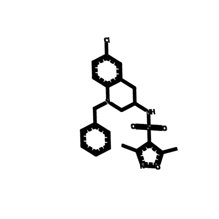 Cc1noc(C)c1S(=O)(=O)NC1Cc2cc(Cl)ccc2N(Cc2ccccc2)C1